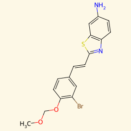 COCOc1ccc(C=Cc2nc3ccc(N)cc3s2)cc1Br